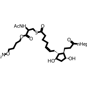 CCCCCCCC(=O)CC[C@@H]1[C@@H](C/C=C\CCCC(=O)SCC(NC(C)=O)C(=O)OCCCCO[N+](=O)[O-])[C@@H](O)C[C@H]1O